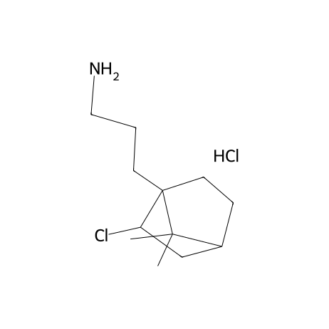 CC1(C)C2CCC1(CCCN)C(Cl)C2.Cl